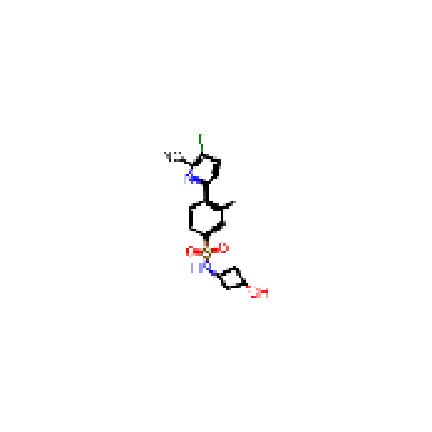 Cc1cc(S(=O)(=O)NC2CC(O)C2)ccc1-c1ccc(F)c(C#N)n1